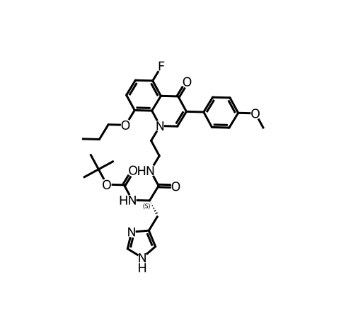 CCCOc1ccc(F)c2c(=O)c(-c3ccc(OC)cc3)cn(CCNC(=O)[C@H](Cc3c[nH]cn3)NC(=O)OC(C)(C)C)c12